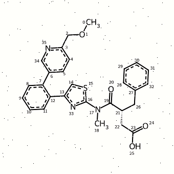 COCc1ccc(-c2ccccc2-c2csc(N(C)C(=O)[C@@H](CC(=O)O)Cc3ccccc3)n2)cn1